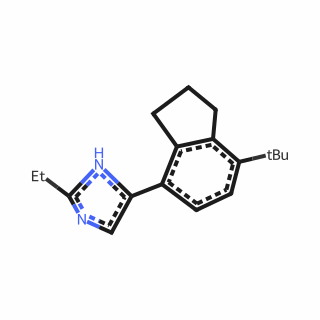 CCc1ncc(-c2ccc(C(C)(C)C)c3c2CCC3)[nH]1